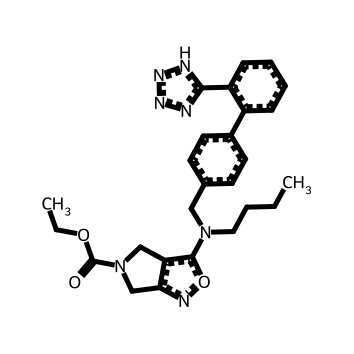 CCCCN(Cc1ccc(-c2ccccc2-c2nnn[nH]2)cc1)c1onc2c1CN(C(=O)OCC)C2